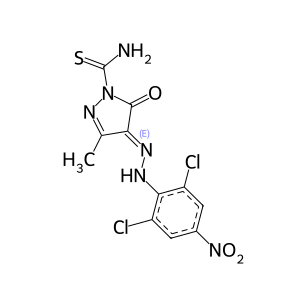 CC1=NN(C(N)=S)C(=O)/C1=N/Nc1c(Cl)cc([N+](=O)[O-])cc1Cl